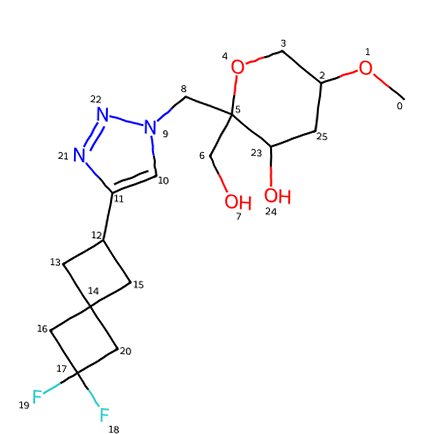 COC1COC(CO)(Cn2cc(C3CC4(C3)CC(F)(F)C4)nn2)C(O)C1